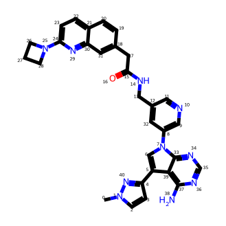 Cn1ccc(-c2cn(-c3cncc(CNC(=O)Cc4ccc5ccc(N6CCC6)nc5c4)c3)c3ncnc(N)c23)n1